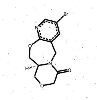 O=C1COC[C@H]2COc3ncc(Br)cc3CN12